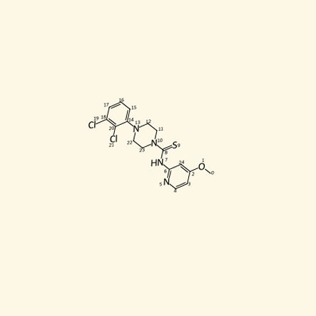 COc1ccnc(NC(=S)N2CCN(c3cccc(Cl)c3Cl)CC2)c1